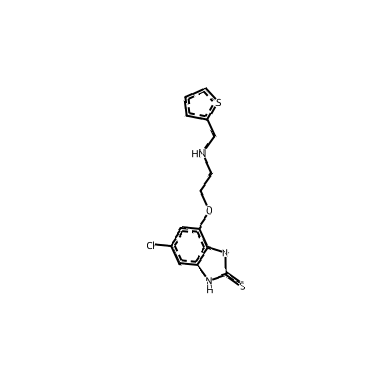 S=C1[N]c2c(cc(Cl)cc2OCCNCc2cccs2)N1